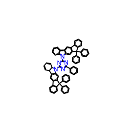 C1=CC2c3cc4c(cc3N(c3nc(-c5ccccc5)nc(-n5c6ccccc6c6cc7c(cc65)C(c5ccccc5)(c5ccccc5)c5ccccc5-7)n3)C2C=C1)C(c1ccccc1)(c1ccccc1)c1ccccc1-4